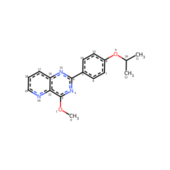 COc1nc(-c2ccc(OC(C)C)cc2)nc2cccnc12